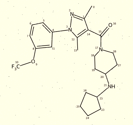 Cc1nn(-c2cccc(OC(F)(F)F)c2)c(C)c1C(=O)N1CCC(NC2CCCC2)CC1